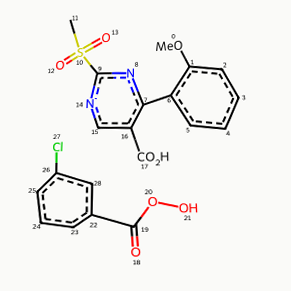 COc1ccccc1-c1nc(S(C)(=O)=O)ncc1C(=O)O.O=C(OO)c1cccc(Cl)c1